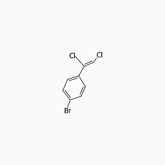 ClC=C(Cl)c1ccc(Br)cc1